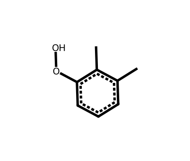 Cc1cccc(OO)c1C